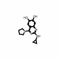 Oc1cc2nc(NC3CC3)nc(N3CCCC3)c2cc1O